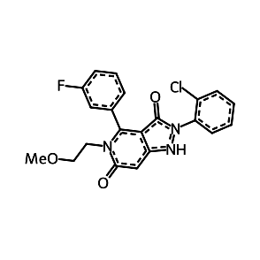 COCCn1c(-c2cccc(F)c2)c2c(=O)n(-c3ccccc3Cl)[nH]c2cc1=O